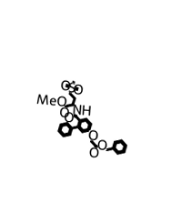 COC(=O)C(CCS(C)(=O)=O)NC(=O)c1ccc(OCC(=O)OCc2ccccc2)cc1-c1ccccc1